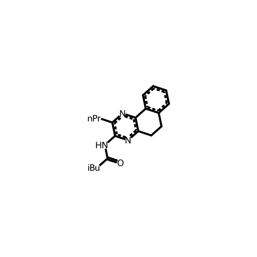 CCCc1nc2c(nc1NC(=O)C(C)CC)CCc1ccccc1-2